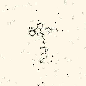 Cn1cc(-c2cccc(C(N)=O)c2-c2nc(CCCC(=O)NC3CCC(O)CC3)cn2-c2ccccc2)cn1